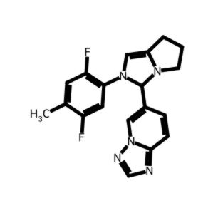 Cc1cc(F)c(N2C=C3CCCN3C2c2ccc3ncnn3c2)cc1F